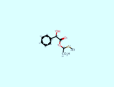 CCSC(OC(=O)C(O)c1ccccc1)C(=O)O